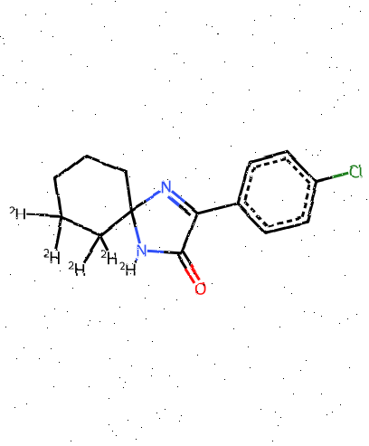 [2H]N1C(=O)C(c2ccc(Cl)cc2)=NC12CCCC([2H])([2H])C2([2H])[2H]